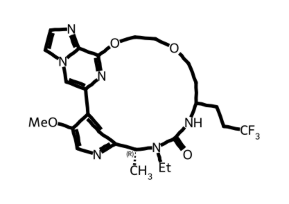 CCN1C(=O)NC(CCC(F)(F)F)CCOCCOc2nc(cn3ccnc23)-c2cc(ncc2OC)[C@H]1C